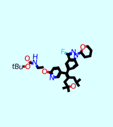 CC(C)(C)OC(=O)NCCOc1ccc(C(=C2CC(C)(C)OC(C)(C)C2)c2ccc3c(c2)c(F)nn3C2CCCCO2)cn1